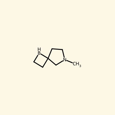 CN1CCC2(BCC2)C1